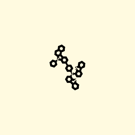 c1ccc(-n2c3cc(-c4ccc(N(c5cccc6c5sc5ccccc56)c5cccc6c5sc5ccccc56)cc4)ccc3c3c4ccccc4ccc32)cc1